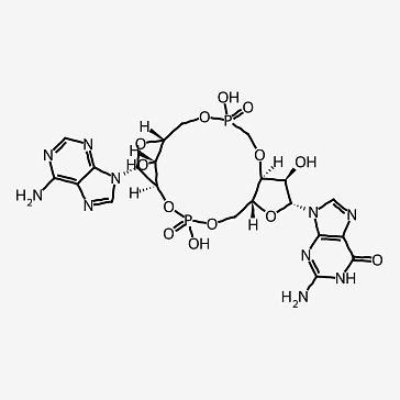 Nc1nc2c(ncn2[C@@H]2O[C@@H]3COP(=O)(O)O[C@@H]4[C@H](O)[C@@H](COP(=O)(O)CO[C@H]3[C@H]2O)O[C@H]4n2cnc3c(N)ncnc32)c(=O)[nH]1